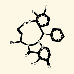 CC(C)C1/C=C/COc2c(ccc(F)c2F)[C@@H](c2ccccc2)N2CN1C(=O)c1c(O)c(=O)ccn12